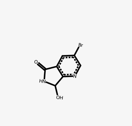 O=C1NC(O)c2ncc(Br)cc21